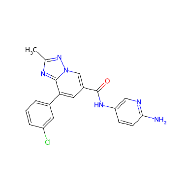 Cc1nc2c(-c3cccc(Cl)c3)cc(C(=O)Nc3ccc(N)nc3)cn2n1